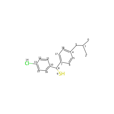 CC(C)Cc1ccc(C(S)c2ccc(Cl)cc2)cc1